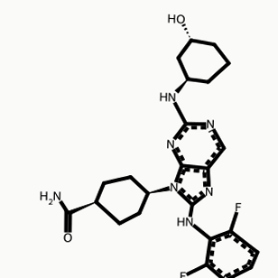 NC(=O)[C@H]1CC[C@@H](n2c(Nc3c(F)cccc3F)nc3cnc(N[C@@H]4CCC[C@@H](O)C4)nc32)CC1